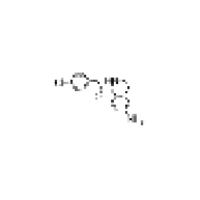 Nc1ccc2c(c1)CCNC2C(=O)Cc1ccc(Cl)cc1